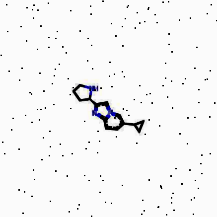 c1cc2nc([C@H]3CCCN3)cn2cc1C1CC1